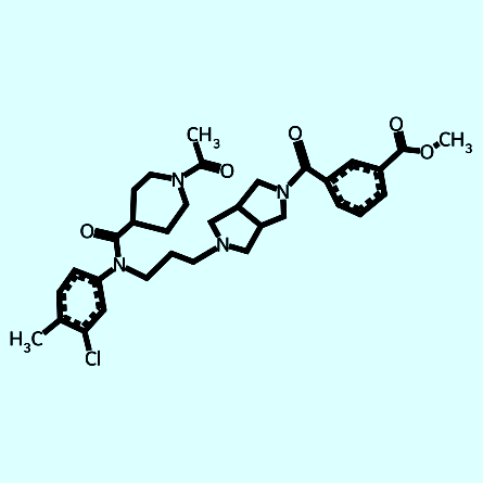 COC(=O)c1cccc(C(=O)N2CC3CN(CCCN(C(=O)C4CCN(C(C)=O)CC4)c4ccc(C)c(Cl)c4)CC3C2)c1